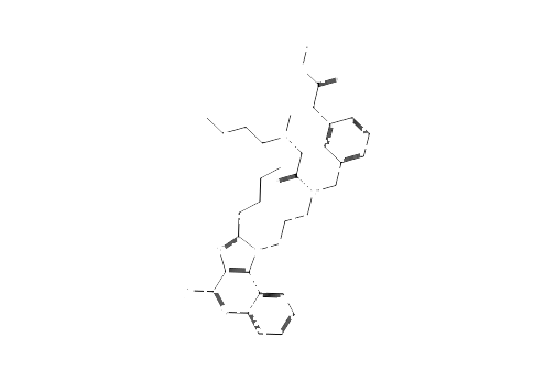 CCCCc1nc2c(N)nc3ccccc3c2n1CCCN(Cc1cccc(CC(=O)OC)c1)C(=O)CN(C)CCCC